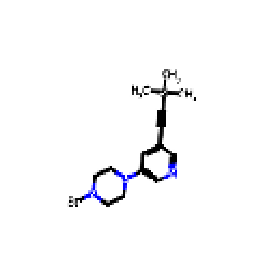 CCN1CCN(c2cncc(C#C[Si](C)(C)C)c2)CC1